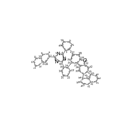 c1ccc(-c2nc(-c3ccc4ccccc4c3)nc(-c3ccccc3-c3cccc4oc5cc6c(cc5c34)-c3cccc4cccc-6c34)n2)cc1